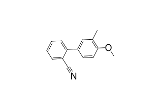 COc1ccc(-c2ccccc2C#N)cc1C